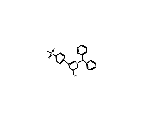 CC(C)N1CC(c2ccc(S(C)(=O)=O)cc2)=CN(C(c2ccccc2)c2ccccc2)C1